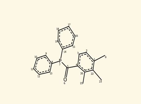 Cc1ccc(C(=O)P(c2ccccc2)c2ccccc2)c(C)c1C